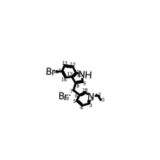 CC[n+]1cccc(Cc2c[nH]c3ccc(Br)cc23)c1.[Br-]